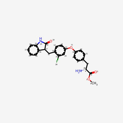 COC(=O)[C@H](N)Cc1ccc(Oc2ccc(CC3C(=O)Nc4ccccc43)c(F)c2)cc1